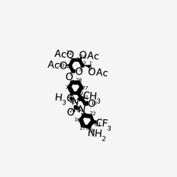 CC(=O)OC[C@H]1O[C@@H](Oc2ccc([C@]3(C)C(=O)N(c4ccc(N)c(C(F)(F)F)c4)C(=O)N3C)cc2)[C@H](OC(C)=O)[C@@H](OC(C)=O)[C@@H]1OC(C)=O